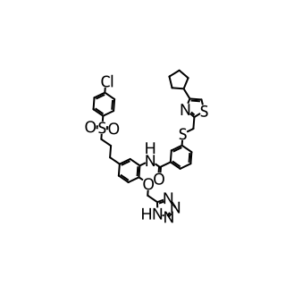 O=C(Nc1cc(CCCS(=O)(=O)c2ccc(Cl)cc2)ccc1OCc1nnn[nH]1)c1cccc(SCc2nc(C3CCCC3)cs2)c1